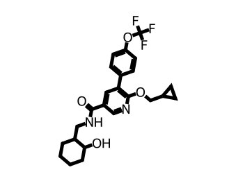 O=C(NCC1CCCCC1O)c1cnc(OCC2CC2)c(-c2ccc(OC(F)(F)F)cc2)c1